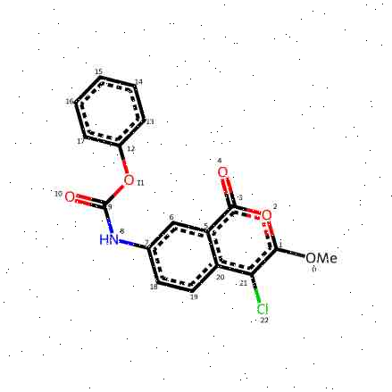 COc1oc(=O)c2cc(NC(=O)Oc3ccccc3)ccc2c1Cl